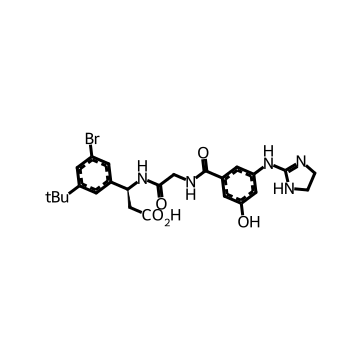 CC(C)(C)c1cc(Br)cc([C@H](CC(=O)O)NC(=O)CNC(=O)c2cc(O)cc(NC3=NCCN3)c2)c1